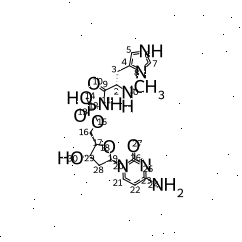 CN[C@@H](Cc1c[nH]cn1)C(=O)NP(=O)(O)OC[C@H]1O[C@@H](n2ccc(N)nc2=O)C[C@@H]1O